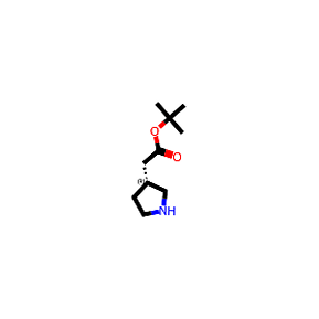 CC(C)(C)OC(=O)C[C@H]1CCNC1